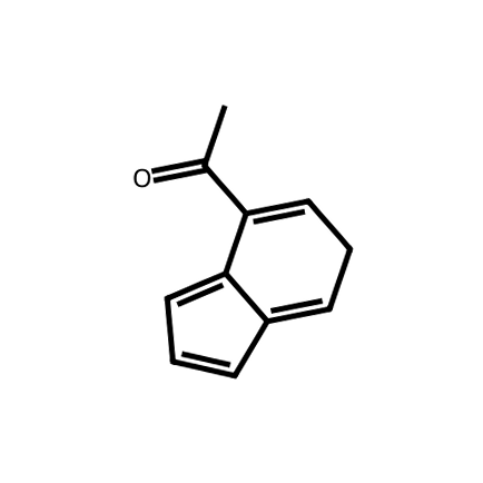 CC(=O)C1=CCC=C2C=CC=C21